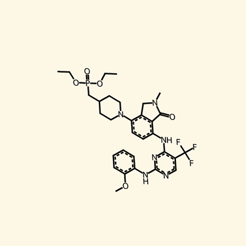 CCOP(=O)(CC1CCN(c2ccc(Nc3nc(Nc4ccccc4OC)ncc3C(F)(F)F)c3c2CN(C)C3=O)CC1)OCC